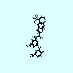 Cc1ccc(Cl)cc1Oc1cc(NC(=O)c2cc3cc4c(cc3s2)OCCC4S(C)(=O)=O)cc(Cl)n1